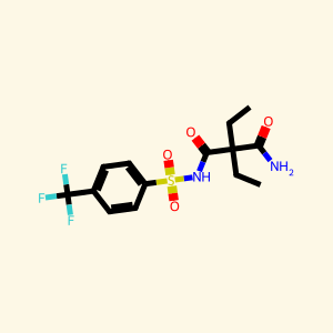 CCC(CC)(C(N)=O)C(=O)NS(=O)(=O)c1ccc(C(F)(F)F)cc1